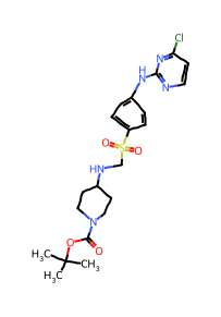 CC(C)(C)OC(=O)N1CCC(NCS(=O)(=O)c2ccc(Nc3nccc(Cl)n3)cc2)CC1